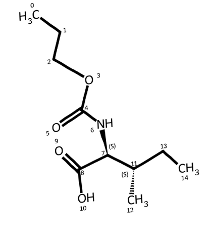 CCCOC(=O)N[C@H](C(=O)O)[C@@H](C)CC